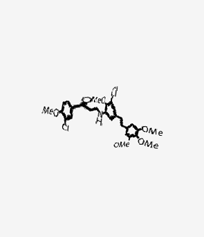 COc1ccc(C(=O)C=CNc2cc(C=Cc3cc(OC)c(OC)c(OC)c3)cc(Cl)c2OC)cc1Cl